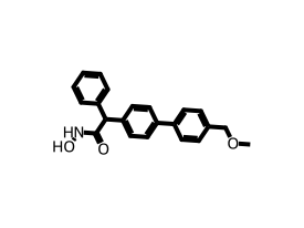 COCc1ccc(-c2ccc(C(C(=O)NO)c3ccccc3)cc2)cc1